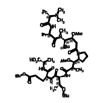 CC[C@H](C)[C@@H]([C@@H](CC(=O)N1CCC[C@H]1[C@H](OC)[C@@H](C)C(=O)N[C@H](C(=O)N[C@@H](CCC(=O)OC(C)(C)C)C(=O)N[C@@H](C)C(=O)O)[C@@H](C)OC(C)(C)C)OC)N(C)C(=O)[C@@H](NC(=O)[C@H](C(C)C)N(C)C)C(C)C